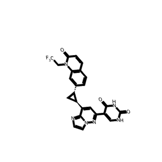 O=c1[nH]cc(-c2cc([C@H]3C[C@@H]3c3ccc4ccc(=O)n(CC(F)(F)F)c4c3)c3nccn3n2)c(=O)[nH]1